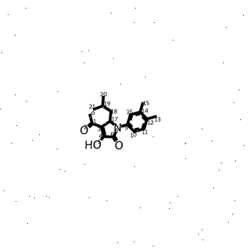 CC(=O)C1=C(O)C(=O)N(c2ccc(C)c(C)c2)C1CC(C)C